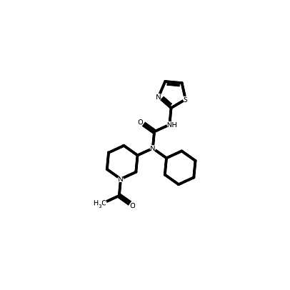 CC(=O)N1CCCC(N(C(=O)Nc2nccs2)C2CCCCC2)C1